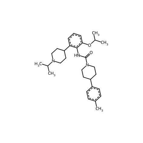 Cc1ccc(C2CCN(C(=O)Nc3c(OC(C)C)cccc3C3CCN(C(C)C)CC3)CC2)cc1